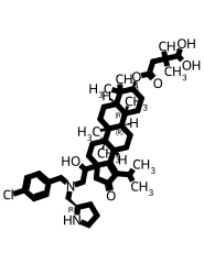 CC(C)C1=C2[C@H]3CC[C@@H]4[C@@]5(C)CC[C@H](OC(=O)CC(C)(C)C(O)O)C(C)(C)[C@@H]5CC[C@@]4(C)[C@]3(C)CCC2(C(O)CN(Cc2ccc(Cl)cc2)C[C@H]2CCCN2)CC1=O